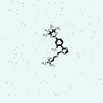 Cc1cc(B2OC(C)(C)C(C)(C)O2)ccc1-c1ncnn1COCC[Si](C)(C)C